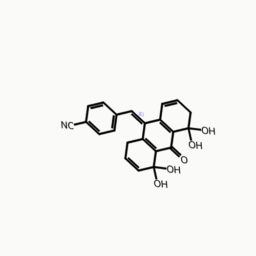 N#Cc1ccc(/C=C2/C3=C(C(=O)C4=C2CC=CC4(O)O)C(O)(O)CC=C3)cc1